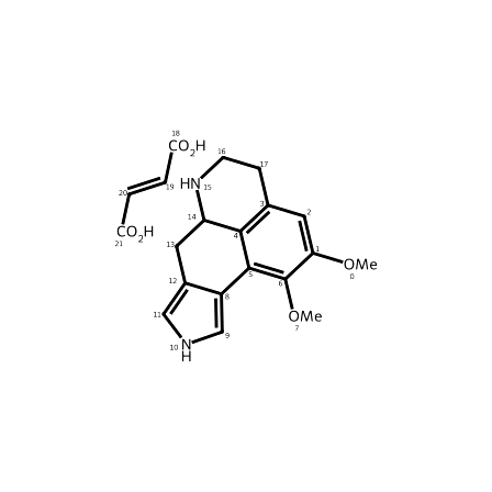 COc1cc2c3c(c1OC)-c1c[nH]cc1CC3NCC2.O=C(O)C=CC(=O)O